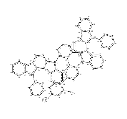 N#Cc1cccc(-n2c3ccccc3c3c2ccc2c4ccccc4n(-c4ccccc4)c23)c1-c1cc(-c2ccc(C(F)(F)F)cc2C(F)(F)F)ccc1-n1c2ccccc2c2c1ccc1c3ccccc3n(-c3ccccc3)c12